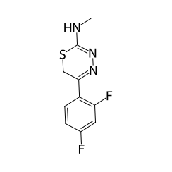 CNC1=NN=C(c2ccc(F)cc2F)CS1